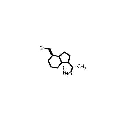 C[C@H](O)C1CCC2/C(=C/Br)CCC[C@@]21C